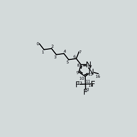 CCCCCCC(C)c1cc(C(F)(F)F)n(C)n1